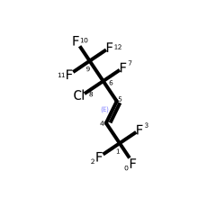 FC(F)(F)/C=C/C(F)(Cl)C(F)(F)F